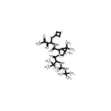 CC(C)(C)NC(=O)NC(C(=O)N1C[C@H]2C(C1C(=O)NC(CC1CCC1)C(=O)C(N)=O)C2(C)C)C(C)(C)C